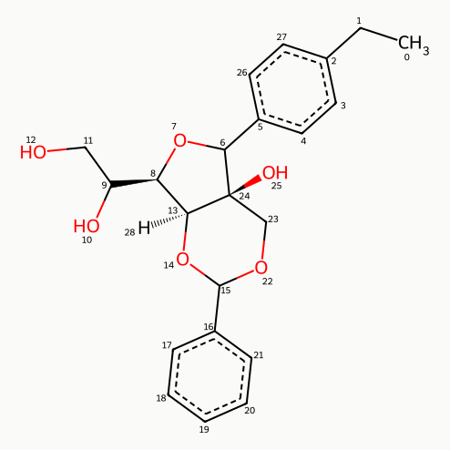 CCc1ccc(C2O[C@H](C(O)CO)[C@@H]3OC(c4ccccc4)OC[C@@]23O)cc1